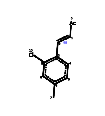 CC(=O)/C=C/c1ccc(C)cc1Cl